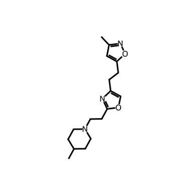 Cc1cc(CCc2coc(CCN3CCC(C)CC3)n2)on1